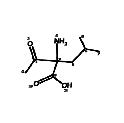 CC(=O)C(N)(CC(C)C)C(=O)O